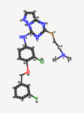 CCN(CC)CCSc1nc(Nc2ccc(OCc3cccc(F)c3)c(Cl)c2)n2nccc2n1